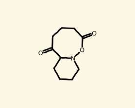 O=C1CCCC(=O)[C]2CCCCN2O1